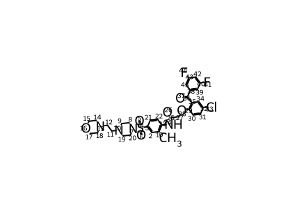 Cc1cc(S(=O)(=O)N2CCN(CCN3CCOCC3)CC2)ccc1NC(=O)COc1ccc(Cl)cc1C(=O)c1cc(F)cc(F)c1